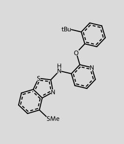 CSc1cccc2sc(Nc3cccnc3Oc3ccccc3C(C)(C)C)nc12